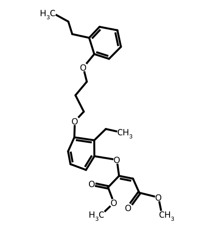 CCCc1ccccc1OCCCOc1cccc(OC(=CC(=O)OC)C(=O)OC)c1CC